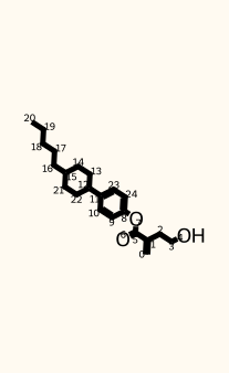 C=C(CCO)C(=O)Oc1ccc(C2CCC(CCCCC)CC2)cc1